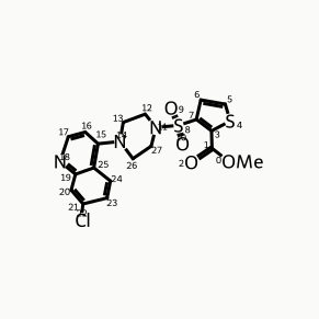 COC(=O)c1sccc1S(=O)(=O)N1CCN(c2ccnc3cc(Cl)ccc23)CC1